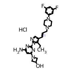 CCc1c(/C=C/CN2CCN(c3cc(F)cc(F)c3)CC2)cnn1-c1nc(N)cc(N2CC(O)C2)n1.Cl